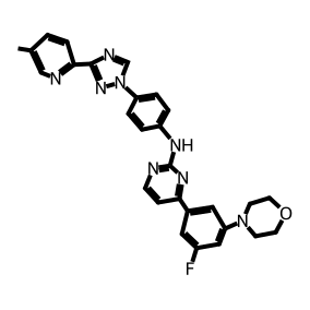 Cc1ccc(-c2ncn(-c3ccc(Nc4nccc(-c5cc(F)cc(N6CCOCC6)c5)n4)cc3)n2)nc1